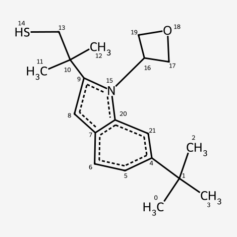 CC(C)(C)c1ccc2cc(C(C)(C)CS)n(C3COC3)c2c1